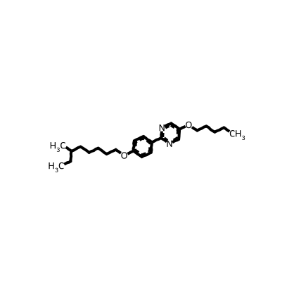 CCCCCOc1cnc(-c2ccc(OCCCCCC(C)CC)cc2)nc1